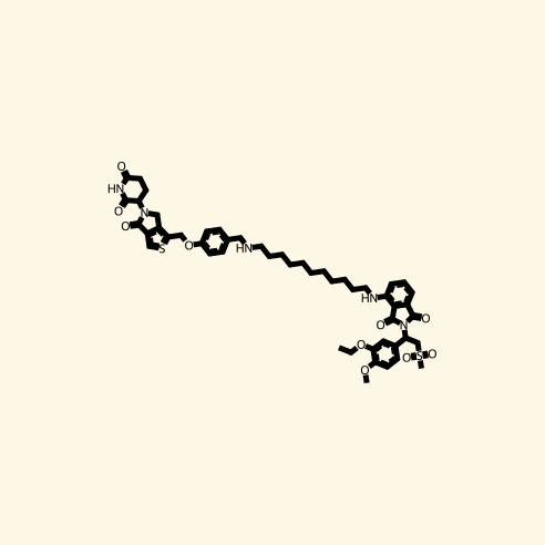 CCOc1cc(C(CS(C)(=O)=O)N2C(=O)c3cccc(NCCCCCCCCCCCNCc4ccc(OCc5scc6c5CN(C5CCC(=O)NC5=O)C6=O)cc4)c3C2=O)ccc1OC